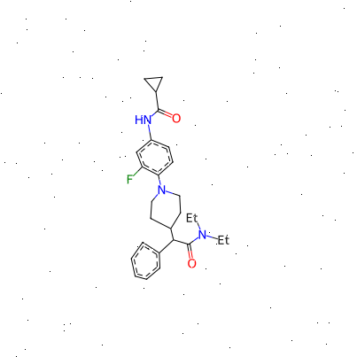 CCN(CC)C(=O)C(c1ccccc1)C1CCN(c2ccc(NC(=O)C3CC3)cc2F)CC1